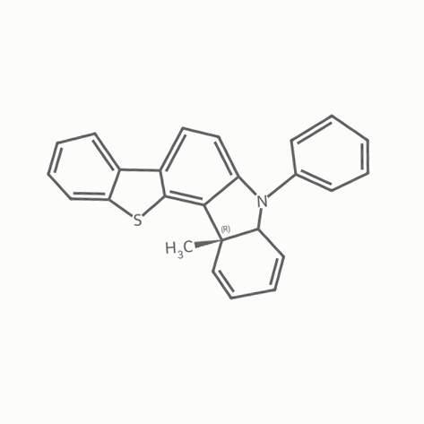 C[C@]12C=CC=CC1N(c1ccccc1)c1ccc3c(sc4ccccc43)c12